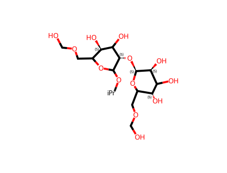 CC(C)OC1OC(COCO)[C@@H](O)C(O)[C@@H]1O[C@@H]1OC(COCO)[C@@H](O)C(O)[C@@H]1O